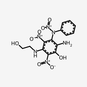 Nc1c(O)c([N+](=O)[O-])c(NCCO)c([N+](=O)[O-])c1N(c1ccccc1)[N+](=O)[O-]